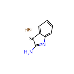 Br.Nc1nc2ccccc2[se]1